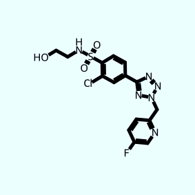 O=S(=O)(NCCO)c1ccc(-c2nnn(Cc3ccc(F)cn3)n2)cc1Cl